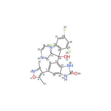 Cc1noc(C)c1-c1cc(C(O)(c2cnccn2)c2c(F)cc(F)cc2F)c2[nH]c(=O)[nH]c2c1